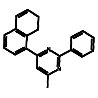 Cc1cc(-c2cccc3c2CCC=C3)nc(-c2ccccc2)n1